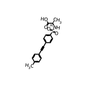 Cc1ccc(C#Cc2ccc(S(=O)(=O)N[C@H](C)C(=O)O)cc2)cc1